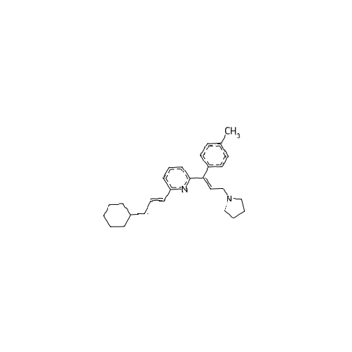 Cc1ccc(/C(=C\CN2CCCC2)c2cccc(/C=C/[CH]C3CCCCC3)n2)cc1